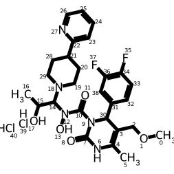 COCC1=C(C)NC(=O)N(C(=O)N(O)C(C(C)O)N2CCC(c3ccccn3)CC2)C1c1ccc(F)c(F)c1.Cl.Cl